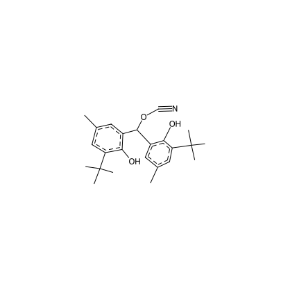 Cc1cc(C(OC#N)c2cc(C)cc(C(C)(C)C)c2O)c(O)c(C(C)(C)C)c1